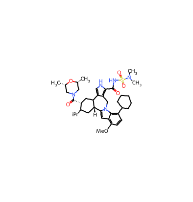 COc1ccc(C2CCCCC2)c2c1cc1n2Cc2c(c[nH]c2C(=O)NS(=O)(=O)N(C)C)C2C[C@@H](C(=O)N3C[C@@H](C)O[C@@H](C)C3)C(C(C)C)C[C@@H]12